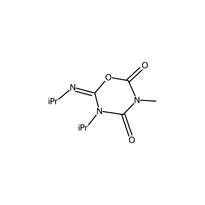 CC(C)/N=c1/oc(=O)n(C)c(=O)n1C(C)C